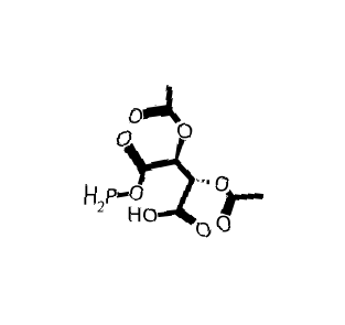 CC(=O)O[C@H](C(=O)O)[C@H](OC(C)=O)C(=O)OP